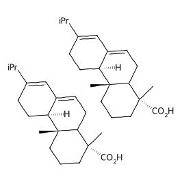 CC(C)C1=CC2=CCC3[C@](C)(C(=O)O)CCC[C@]3(C)[C@H]2CC1.CC(C)C1=CC2=CCC3[C@](C)(C(=O)O)CCC[C@]3(C)[C@H]2CC1